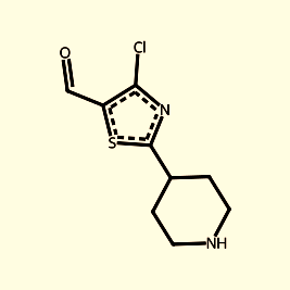 O=Cc1sc(C2CCNCC2)nc1Cl